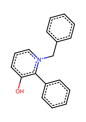 Oc1ccc[n+](Cc2ccccc2)c1-c1ccccc1